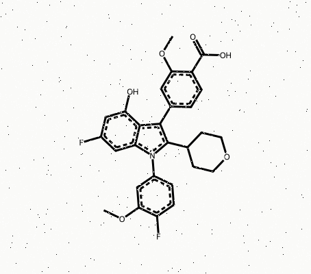 COc1cc(-n2c(C3CCOCC3)c(-c3ccc(C(=O)O)c(OC)c3)c3c(O)cc(F)cc32)ccc1F